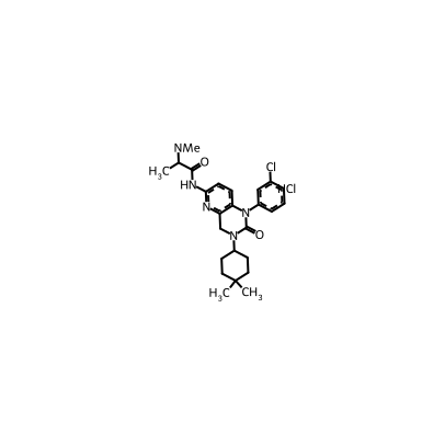 CNC(C)C(=O)Nc1ccc2c(n1)CN(C1CCC(C)(C)CC1)C(=O)N2c1cccc(Cl)c1.Cl